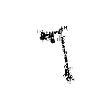 C#Cc1c(F)ccc2cc(O)cc(-c3ncc4c(N5CC6CCC(C5)N6)nc(OCCC5C[C@@H](COC(=O)NCCOCCOCCOCCOCCOCCC(=O)Nc6ccc7c(c6)C(=O)N(C6CCC(=O)NC6=O)C7=O)N6CC(C)CC56)nc4c3F)c12